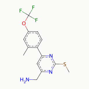 CSc1nc(CN)cc(-c2ccc(OC(F)(F)F)cc2C)n1